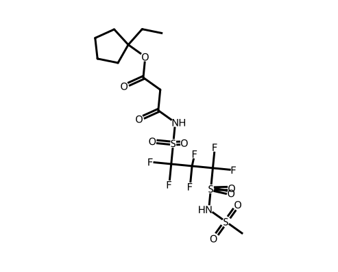 CCC1(OC(=O)CC(=O)NS(=O)(=O)C(F)(F)C(F)(F)C(F)(F)S(=O)(=O)NS(C)(=O)=O)CCCC1